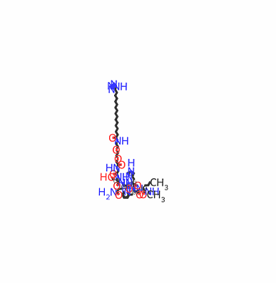 CCCC[C@H](NC(=O)[C@H](Cc1ccccn1)NC(=O)[C@H](Cc1c[nH]cn1)NC(=O)[C@H](CCC(N)=O)NC(=O)[C@H](CO)NC(=O)CNC(=O)COCCOCCNC(=O)CCCCCCCCCCCCCCCc1nnn[nH]1)C(=O)NC